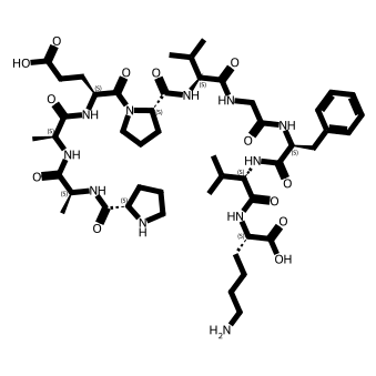 CC(C)[C@H](NC(=O)[C@H](Cc1ccccc1)NC(=O)CNC(=O)[C@@H](NC(=O)[C@@H]1CCCN1C(=O)[C@H](CCC(=O)O)NC(=O)[C@H](C)NC(=O)[C@H](C)NC(=O)[C@@H]1CCCN1)C(C)C)C(=O)N[C@@H](CCCCN)C(=O)O